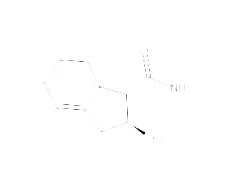 NC(=O)[C@H]1c2ccccc2C[C@@H]1O